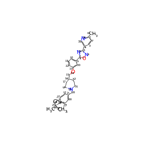 Cc1ccc(-c2noc(-c3cccc(OCC4CCN(Cc5ccc(C(C)(C)C)cc5)CC4)c3)n2)cn1